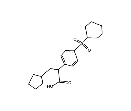 O=C(O)C(CC1CCCC1)c1ccc(S(=O)(=O)C2CCCCC2)cc1